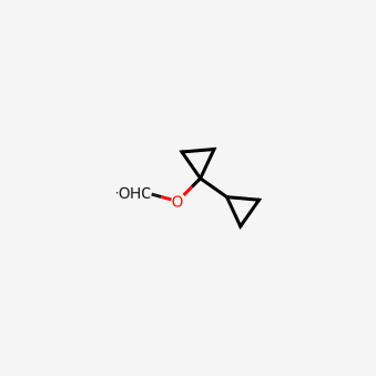 O=[C]OC1(C2CC2)CC1